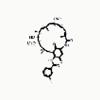 CO[C@H]1C[C@H](C)CC2=C(NC(=O)c3cccc(O)c3)C(=O)C=C(NC(=O)/C(C)=C/C=C\[C@H](OC)C/C(C)=C/[C@H](C)[C@H]1O)C2=O